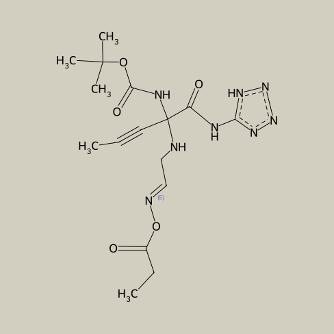 CC#CC(NC/C=N/OC(=O)CC)(NC(=O)OC(C)(C)C)C(=O)Nc1nnn[nH]1